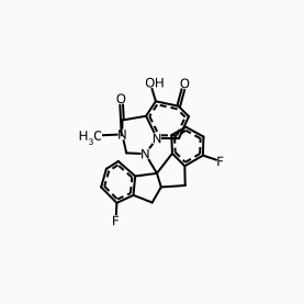 CN1CN(C23c4cccc(F)c4CC2Cc2c(F)cccc23)n2ccc(=O)c(O)c2C1=O